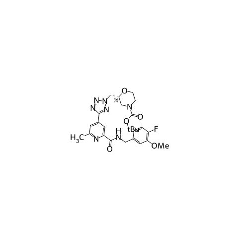 COc1cc(CNC(=O)c2cc(-c3nnn(C[C@H]4CN(C(=O)OC(C)(C)C)CCO4)n3)cc(C)n2)ccc1F